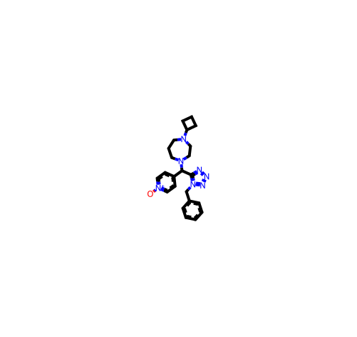 [O-][n+]1ccc(C(c2nnnn2Cc2ccccc2)N2CCCN(C3CCC3)CC2)cc1